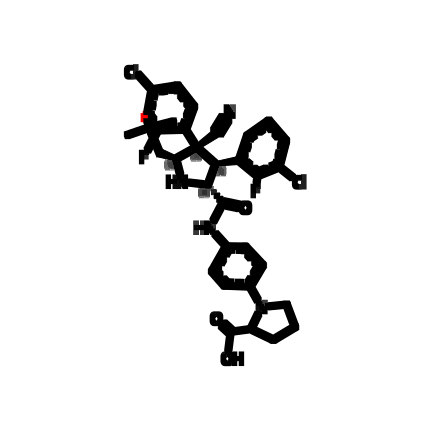 CC(C)(C)C[C@@H]1N[C@@H](C(=O)Nc2ccc(N3CCCC3C(=O)O)cc2)[C@H](c2cccc(Cl)c2F)[C@@]1(C#N)c1ccc(Cl)cc1F